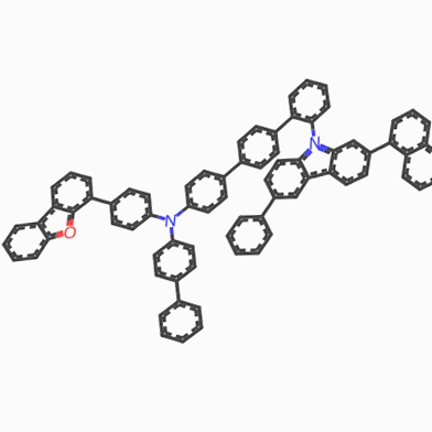 c1ccc(-c2ccc(N(c3ccc(-c4ccc(-c5ccccc5-n5c6ccc(-c7ccccc7)cc6c6ccc(-c7cccc8ccccc78)cc65)cc4)cc3)c3ccc(-c4cccc5c4oc4ccccc45)cc3)cc2)cc1